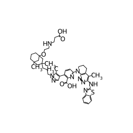 Cc1c(Nc2nc3ccccc3s2)nnc2c1CCCN2c1ccc(-c2cnn(CCCC3(C)CC4(C)CCCC(OCCNCCC(=O)O)(C3)C4)c2C)c(C(=O)O)n1